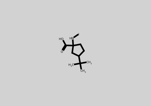 CC(C)(C)C1CCC(NI)(C(=O)O)C1